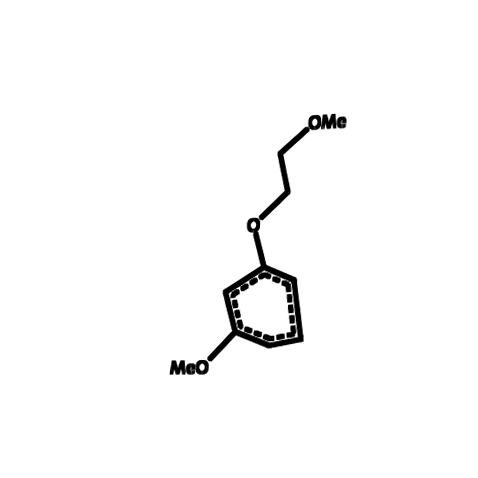 COCCOc1cccc(OC)c1